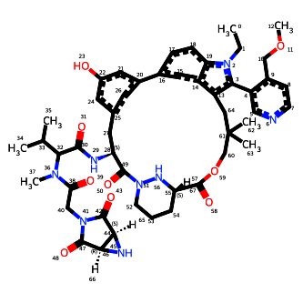 CCn1c(-c2cnccc2COC)c2c3cc(ccc31)-c1cc(O)cc(c1)C[C@H](NC(=O)C(C(C)C)N(C)C(=O)CN1C(=O)[C@H]3N[C@H]3C1=O)C(=O)N1CCC[C@H](N1)C(=O)OCC(C)(C)C2